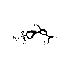 CS(=O)(=O)c1ccc(-c2cc(C(=O)O)ccc2Cl)cc1